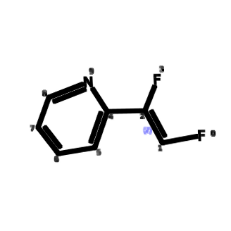 F/C=C(\F)c1ccccn1